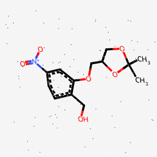 CC1(C)OCC(COc2cc([N+](=O)[O-])ccc2CO)O1